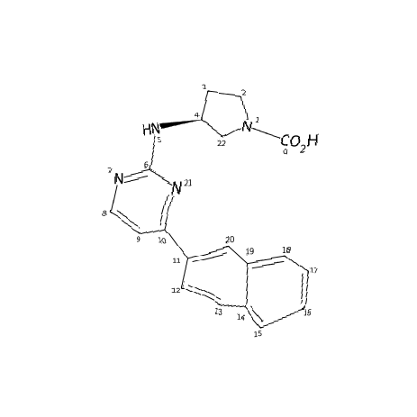 O=C(O)N1CC[C@H](Nc2nccc(-c3ccc4ccccc4c3)n2)C1